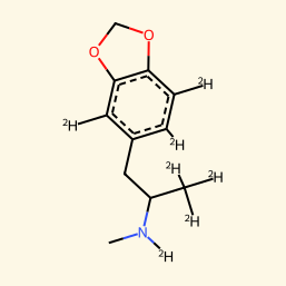 [2H]c1c([2H])c2c(c([2H])c1CC(N([2H])C)C([2H])([2H])[2H])OCO2